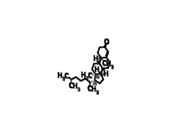 CC(C)CCCC(C)[C@H]1CC[C@H]2[C@@H]3CCC4=CC(=O)CC[C@]4(C)[C@H]3CC[C@]12C